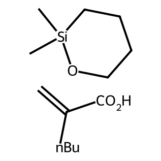 C=C(CCCC)C(=O)O.C[Si]1(C)CCCCO1